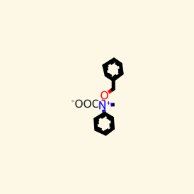 C[N+](OCc1ccccc1)(C(=O)[O-])c1ccccc1